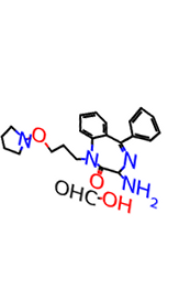 NC1N=C(c2ccccc2)c2ccccc2N(CCCON2CCCC2)C1=O.O=CO